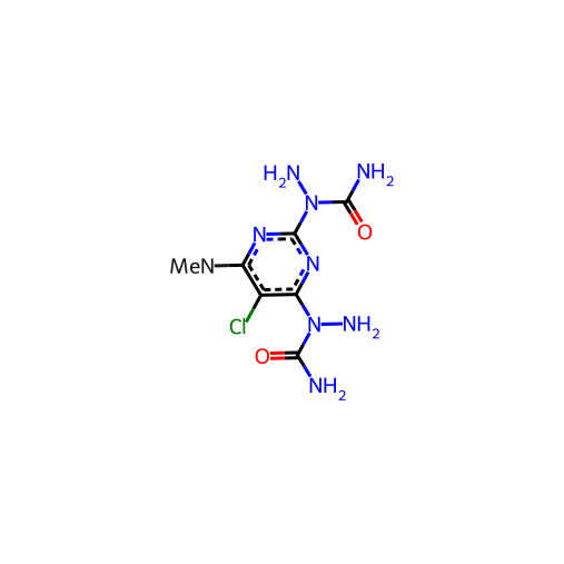 [CH2]Nc1nc(N(N)C(N)=O)nc(N(N)C(N)=O)c1Cl